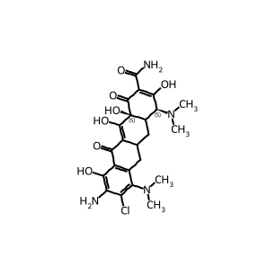 CN(C)c1c(Cl)c(N)c(O)c2c1CC1CC3[C@H](N(C)C)C(O)=C(C(N)=O)C(=O)[C@@]3(O)C(O)=C1C2=O